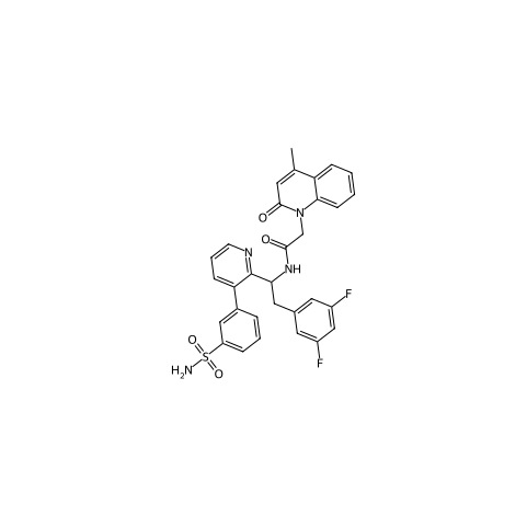 Cc1cc(=O)n(CC(=O)NC(Cc2cc(F)cc(F)c2)c2ncccc2-c2cccc(S(N)(=O)=O)c2)c2ccccc12